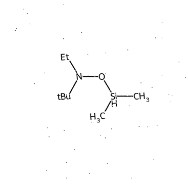 CCN(O[SiH](C)C)C(C)(C)C